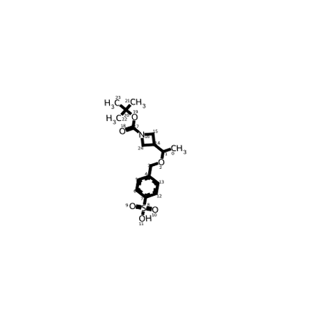 CC(OCc1ccc(S(=O)(=O)O)cc1)C1CN(C(=O)OC(C)(C)C)C1